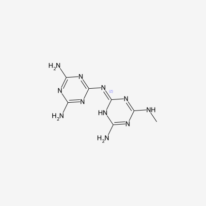 CNc1nc(N)[nH]/c(=N\c2nc(N)nc(N)n2)n1